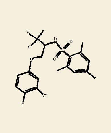 Cc1cc(C)c(S(=O)(=O)NC(CSc2ccc(F)c(Cl)c2)C(F)(F)F)c(C)c1